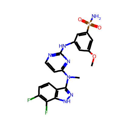 COc1cc(Nc2nccc(N(C)c3n[nH]c4c(F)c(F)ccc34)n2)cc(S(N)(=O)=O)c1